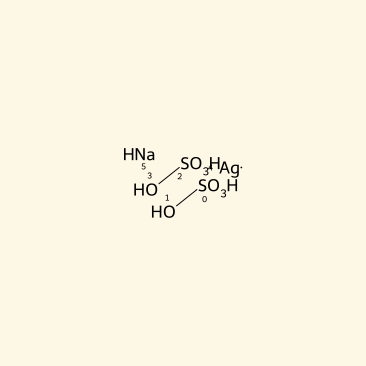 O=S(=O)(O)O.O=S(=O)(O)O.[Ag].[NaH]